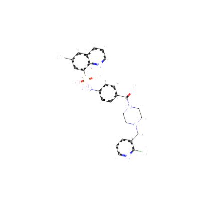 CC(C)c1cc(S(=O)(=O)Nc2ccc(C(=O)N3CCN(Cc4cccnc4Cl)CC3)cc2)c2ncccc2c1